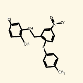 Cc1ccc(Sc2ccc([N+](=O)[O-])cc2CNc2cc(Cl)ccc2O)cc1